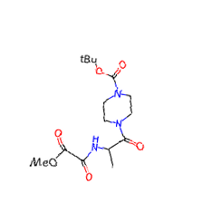 COC(=O)C(=O)NC(C)C(=O)N1CCN(C(=O)OC(C)(C)C)CC1